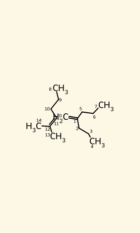 C=C(CCC)CCC.CCCC=C(C)C